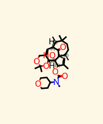 CC1=C[C@]23C(=O)[C@@H](C=C4COC(C)(C)O[C@H]4[C@]2(O)[C@H]1OC(=O)N(C)C1CCOCC1)[C@@H](C)C(C)(C)CC[C@H]3C